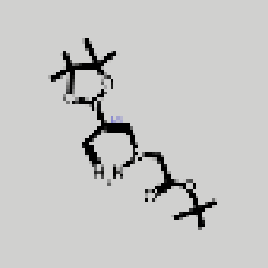 C=C/C(=C\N(N)CC(=O)OC(C)(C)C)B1OC(C)(C)C(C)(C)O1